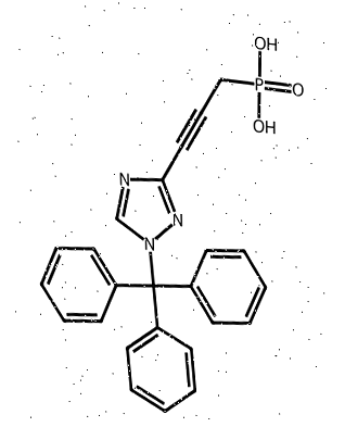 O=P(O)(O)CC#Cc1ncn(C(c2ccccc2)(c2ccccc2)c2ccccc2)n1